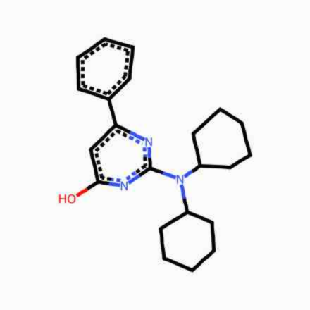 Oc1cc(-c2ccccc2)nc(N(C2CCCCC2)C2CCCCC2)n1